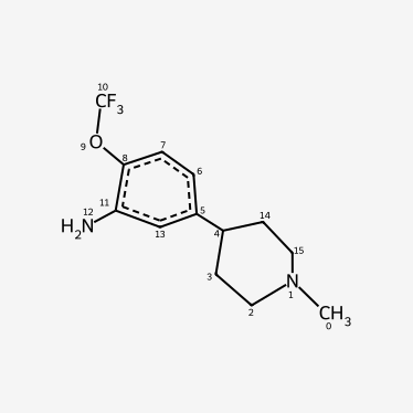 CN1CCC(c2ccc(OC(F)(F)F)c(N)c2)CC1